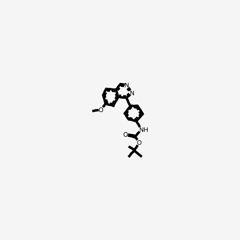 COc1ccc2cnnc(-c3ccc(NC(=O)OC(C)(C)C)cc3)c2c1